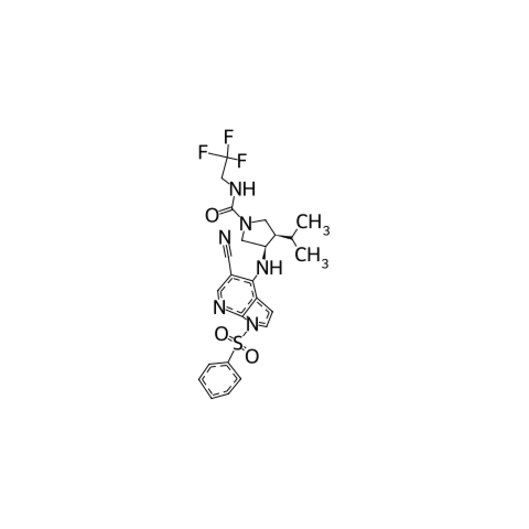 CC(C)[C@@H]1CN(C(=O)NCC(F)(F)F)C[C@@H]1Nc1c(C#N)cnc2c1ccn2S(=O)(=O)c1ccccc1